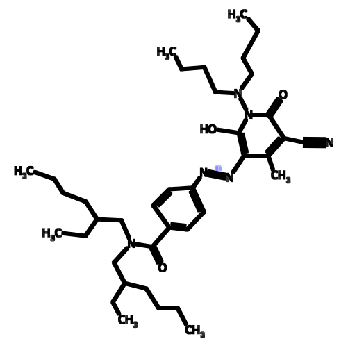 CCCCC(CC)CN(CC(CC)CCCC)C(=O)c1ccc(/N=N/c2c(C)c(C#N)c(=O)n(N(CCCC)CCCC)c2O)cc1